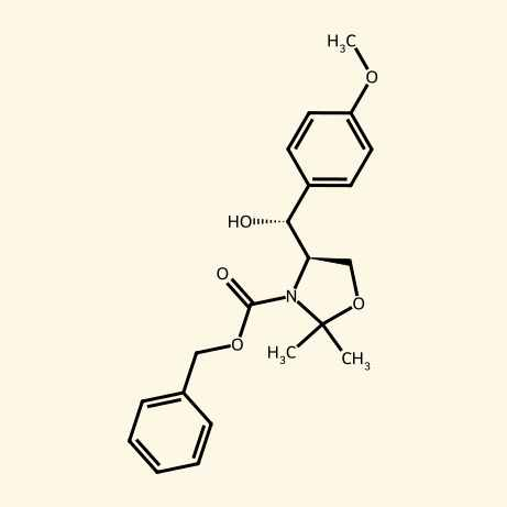 COc1ccc([C@@H](O)[C@H]2COC(C)(C)N2C(=O)OCc2ccccc2)cc1